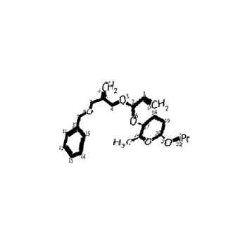 C=C[C@H](OCC(=C)COCc1ccccc1)O[C@@H]1CC[C@H](OC(C)C)O[C@H]1C